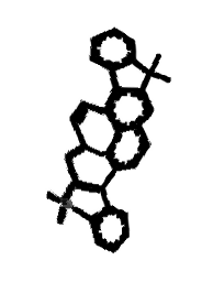 CC1(C)c2ccccc2-c2c1cc1ccc3c4c1c2C=CC4CC1=C3c2ccccc2[Si]1(C)C